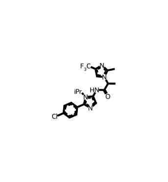 Cc1nc(C(F)(F)F)cn1C(C)C(=O)Nc1cnc(-c2ccc(Cl)cc2)n1C(C)C